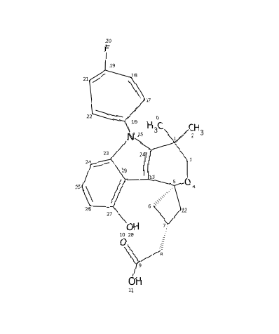 CC1(C)CO[C@]2(C[C@@H](CC(=O)O)C2)c2c1n(-c1ccc(F)cc1)c1cccc(O)c12